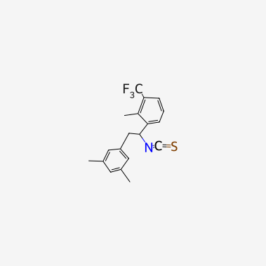 Cc1cc(C)cc(CC(N=C=S)c2cccc(C(F)(F)F)c2C)c1